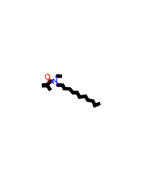 C=C(C)C(=O)N(CC)CCCCCCCCCCCC